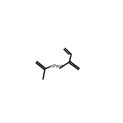 C=C(C)CCCCC.C=CC(=C)C